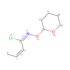 C/C=C\C(Cl)=N/OC1CCCCO1